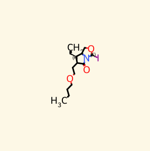 C=C[C@@H]1C(CCOCCCC)C(=O)N2C1CO[C@H]2I